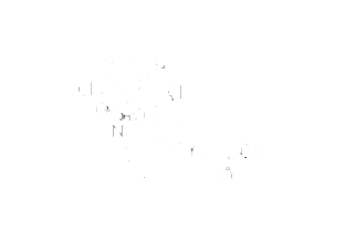 CN(C1CCCc2c(OCC(=O)O)cc(Cl)cc21)S(=O)(=O)c1cc(Cl)ccc1Cl